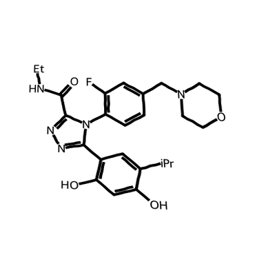 CCNC(=O)c1nnc(-c2cc(C(C)C)c(O)cc2O)n1-c1ccc(CN2CCOCC2)cc1F